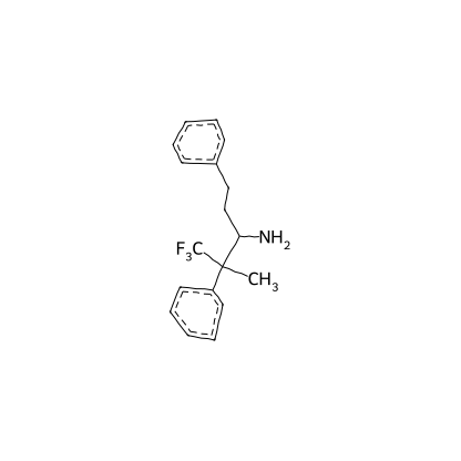 CC(c1ccccc1)(C(N)CCc1ccccc1)C(F)(F)F